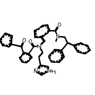 CN(CC(c1ccccc1)c1ccccc1)C(=O)c1ccccc1CN(CCc1c[nH]cn1)C(=O)c1ccccc1C(=O)c1ccccc1